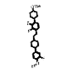 CCOc1ccc(C2CCC(CCc3ccc(C4CCC(OC)CC4)c(F)c3F)CC2)cc1F